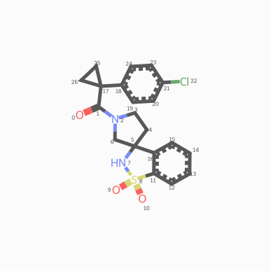 O=C(N1CCC2(C1)NS(=O)(=O)c1ccccc12)C1(c2ccc(Cl)cc2)CC1